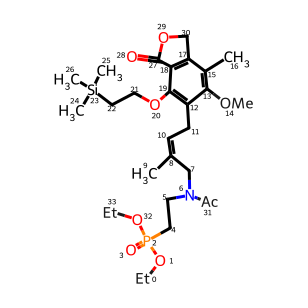 CCOP(=O)(CCN(CC(C)=CCc1c(OC)c(C)c2c(c1OCC[Si](C)(C)C)C(=O)OC2)C(C)=O)OCC